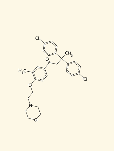 Cc1cc(C(=O)CC(C)(c2ccc(Cl)cc2)c2ccc(Cl)cc2)ccc1OCCN1CCOCC1